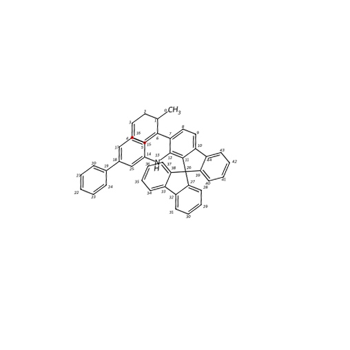 CC1CC=CC=C1c1ccc2c(c1Nc1cccc(-c3ccccc3)c1)C1(c3ccccc3-c3ccccc31)c1ccccc1-2